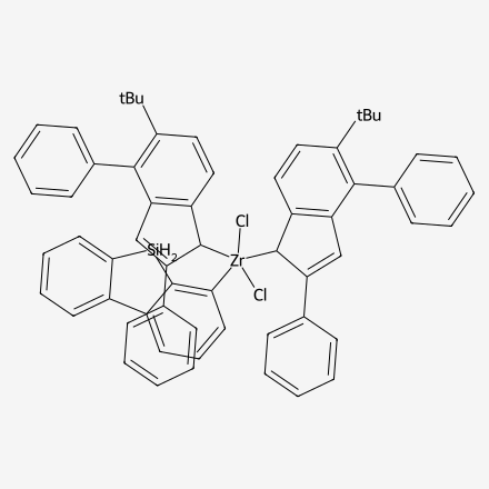 CC(C)(C)c1ccc2c(c1-c1ccccc1)C=C(c1ccccc1)[CH]2[Zr]([Cl])([Cl])([c]1cccc2c1[SiH2]c1ccccc1-2)[CH]1C(c2ccccc2)=Cc2c1ccc(C(C)(C)C)c2-c1ccccc1